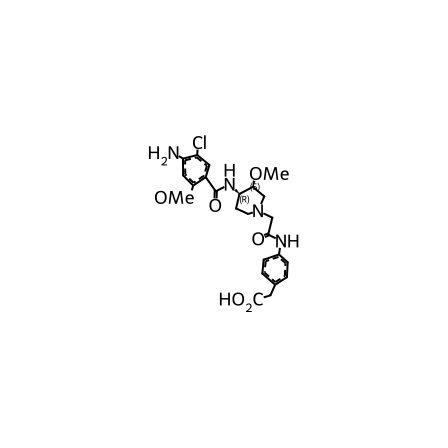 COc1cc(N)c(Cl)cc1C(=O)N[C@@H]1CCN(CC(=O)Nc2ccc(CC(=O)O)cc2)C[C@@H]1OC